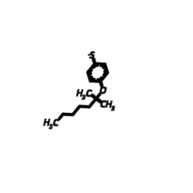 CCCCCC(C)(C)Oc1ccc([S])cc1